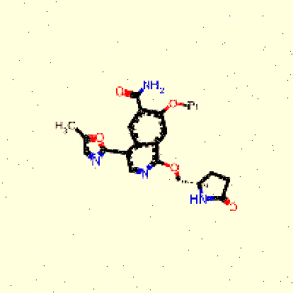 Cc1cnc(-c2cnc(OC[C@@H]3CCC(=O)N3)c3cc(OC(C)C)c(C(N)=O)cc23)o1